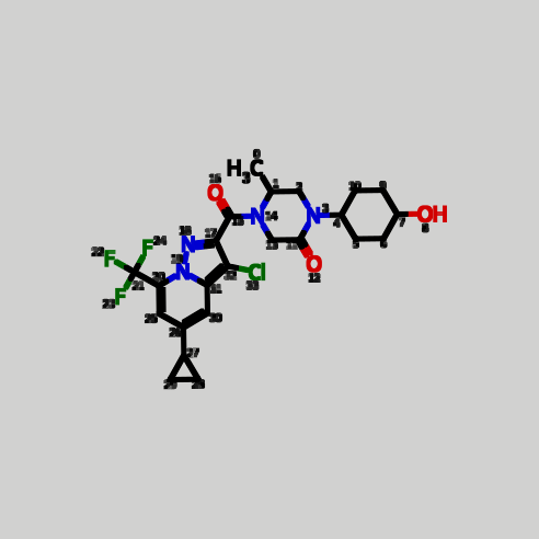 CC1CN(C2CCC(O)CC2)C(=O)CN1C(=O)c1nn2c(C(F)(F)F)cc(C3CC3)cc2c1Cl